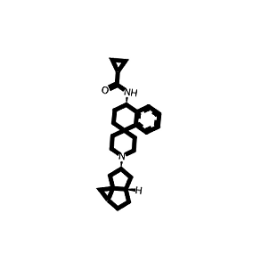 O=C(N[C@H]1CCC2(CCN([C@@H]3C[C@@H]4CCC5CC54C3)CC2)c2ccccc21)C1CC1